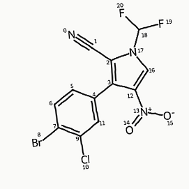 N#Cc1c(-c2ccc(Br)c(Cl)c2)c([N+](=O)[O-])cn1C(F)F